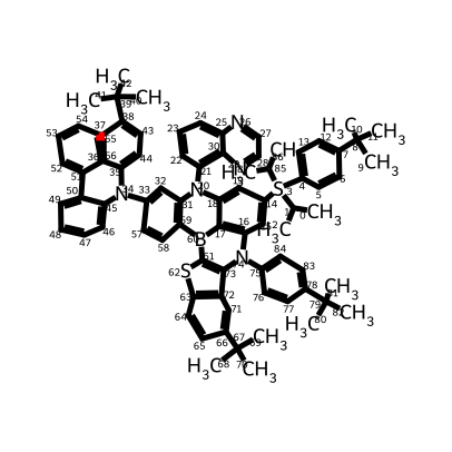 CC(C)S(c1ccc(C(C)(C)C)cc1)(c1cc2c3c(c1)N(c1cccc4nccnc14)c1cc(N(c4ccc(C(C)(C)C)cc4)c4ccccc4-c4ccccc4)ccc1B3c1sc3ccc(C(C)(C)C)cc3c1N2c1ccc(C(C)(C)C)cc1)C(C)C